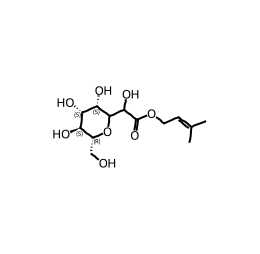 CC(C)=CCOC(=O)C(O)C1O[C@H](CO)[C@@H](O)[C@H](O)[C@@H]1O